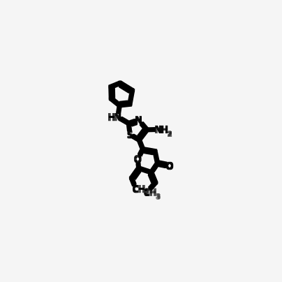 C/C=c1/oc(-c2sc(Nc3ccccc3)nc2N)cc(=O)/c1=C/C